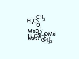 C=C(C)COCCC[Si](C(C)OC)(C(C)OC)C(C)OC